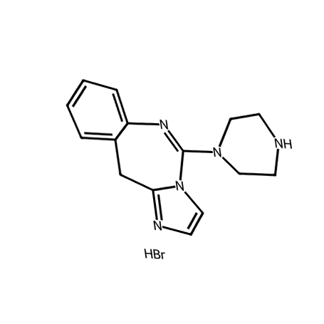 Br.c1ccc2c(c1)Cc1nccn1C(N1CCNCC1)=N2